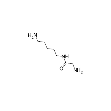 NCCCCCNC(=O)CN